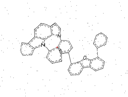 c1ccc(-c2cccc3c2oc2c(-c4ccc(-n5ccc6ccc7c8ccccc8n(-c8ccccc8)c7c65)cc4)cccc23)cc1